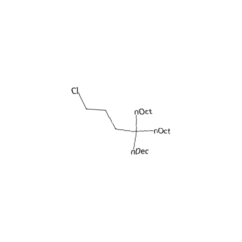 CCCCCCCCCCC(CCCCl)(CCCCCCCC)CCCCCCCC